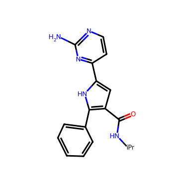 CC(C)NC(=O)c1cc(-c2ccnc(N)n2)[nH]c1-c1ccccc1